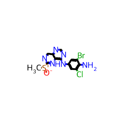 C[S+]([O-])c1ncc2ncnc(Nc3cc(Cl)c(N)c(Br)c3)c2n1